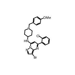 COc1ccc(CN2CCC(Nc3cc(-c4ccccc4Cl)nc4c(Br)cnn34)CC2)cc1